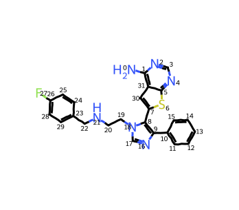 Nc1ncnc2sc(-c3c(-c4ccccc4)ncn3CCNCc3ccc(F)cc3)cc12